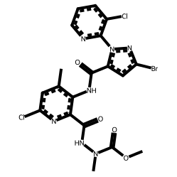 COC(=O)N(C)NC(=O)c1nc(Cl)cc(C)c1NC(=O)c1cc(Br)nn1-c1ncccc1Cl